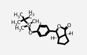 CC(C)(C)[Si](C)(C)Oc1ccc(C2OC(=O)[C@H]3CCC[C@@H]23)cc1